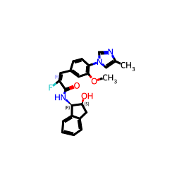 COc1cc(/C=C(/F)C(=O)N[C@@H]2c3ccccc3C[C@@H]2O)ccc1-n1cnc(C)c1